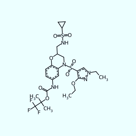 CCOc1nn(CC)cc1S(=O)(=O)N1CC(CNS(=O)(=O)C2CC2)Oc2ccc(NC(=O)OC(C)(C)C(F)(F)F)cc21